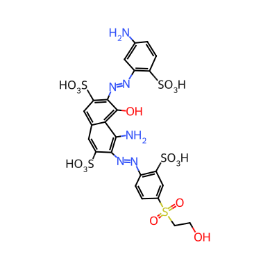 Nc1ccc(S(=O)(=O)O)c(N=Nc2c(S(=O)(=O)O)cc3cc(S(=O)(=O)O)c(N=Nc4ccc(S(=O)(=O)CCO)cc4S(=O)(=O)O)c(N)c3c2O)c1